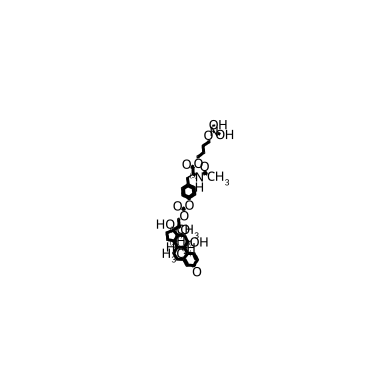 CC(=O)N[C@@H](Cc1ccc(OC(=O)OCC(=O)[C@@]2(O)CC[C@H]3[C@@H]4CCC5=CC(=O)C=C[C@]5(C)[C@H]4[C@@H](O)C[C@@]32C)cc1)C(=O)OCCCCON(O)O